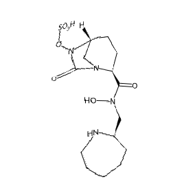 O=C([C@@H]1CC[C@@H]2CN1C(=O)N2OS(=O)(=O)O)N(O)C[C@H]1CCCCCN1